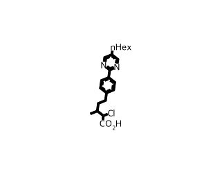 CCCCCCc1cnc(-c2ccc(CCC(C)C(Cl)C(=O)O)cc2)nc1